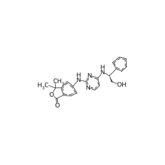 CC1(C)OC(=O)c2ccc(Nc3nccc(N[C@H](CO)c4ccccc4)n3)cc21